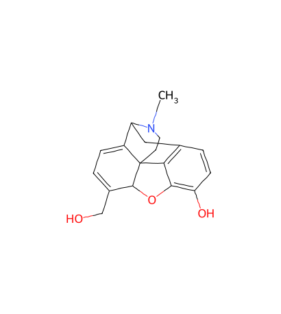 CN1CCC23C4=CC=C(CO)C2Oc2c(O)ccc(c23)CC41